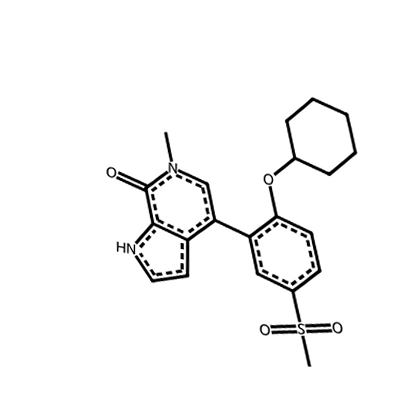 Cn1cc(-c2cc(S(C)(=O)=O)ccc2OC2CCCCC2)c2cc[nH]c2c1=O